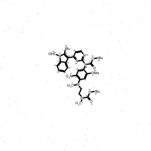 COc1cc(N(C)CCN(C)C(=O)OC(C)(C)C)c([N+](=O)[O-])cc1N(C(=O)OC(C)(C)C)c1nccc(-c2c(C(C)(C)C)n([C]=O)c3ccccc23)n1